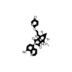 CC12OC(CCOc3ccc(Cl)cn3)([C@@H]3C(=O)N(c4ccc(C#N)c5ncccc45)C(=O)[C@@H]31)[C@H]1C[C@H]12